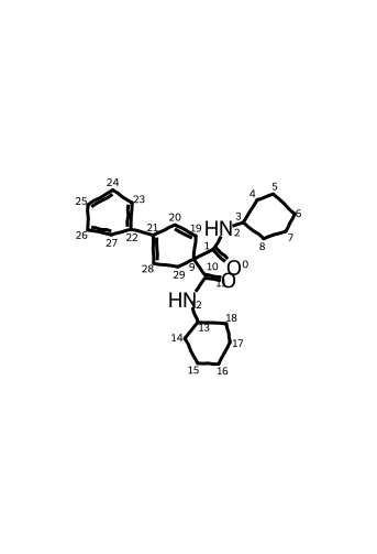 O=C(NC1CCCCC1)C1(C(=O)NC2CCCCC2)C=CC(c2ccccc2)=CC1